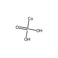 O=[P](O)(O)[Co]